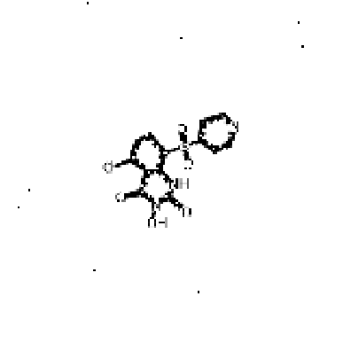 O=c1[nH]c2c(S(=O)(=O)c3ccncc3)ccc(Cl)c2c(=O)n1O